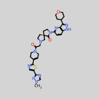 Cn1cnc(-c2cnc(C3=CCN(C(=O)CN4CC[C@]5(CCN(c6ccc7[nH]nc(C8CCOCC8)c7n6)C5=O)C4)CC3)s2)n1